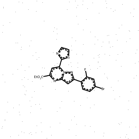 CCOC(=O)c1cc(-c2nccs2)n2nc(-c3ccc(Br)cc3F)cc2n1